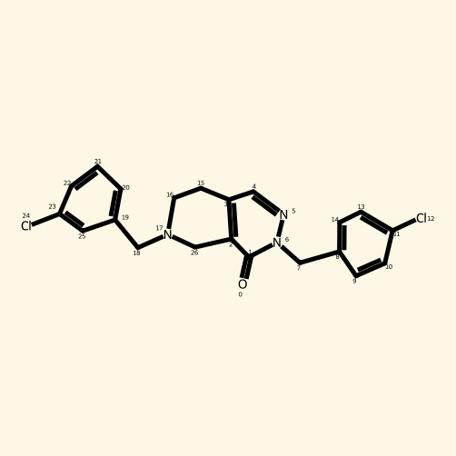 O=c1c2c(cnn1Cc1ccc(Cl)cc1)CCN(Cc1cccc(Cl)c1)C2